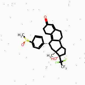 C[S+]([O-])c1ccc([C@H]2C[C@@]3(C)C(CC[C@@]3(O)C(F)(F)C(F)(F)F)C3CCC4=CC(=O)CCC4=C32)cc1